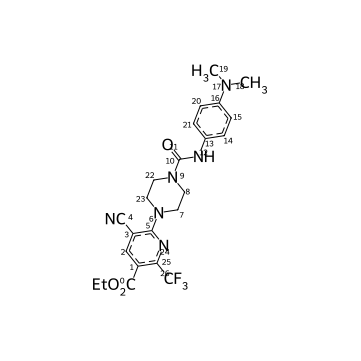 CCOC(=O)c1cc(C#N)c(N2CCN(C(=O)Nc3ccc(N(C)C)cc3)CC2)nc1C(F)(F)F